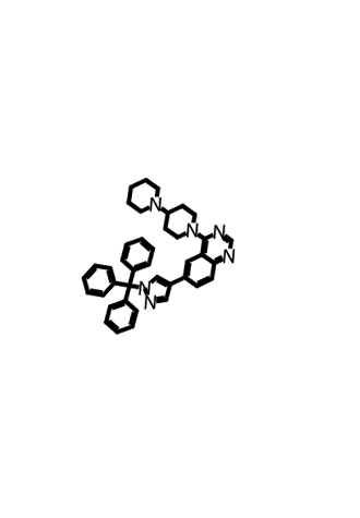 c1ccc(C(c2ccccc2)(c2ccccc2)n2cc(-c3ccc4ncnc(N5CCC(N6CCCCC6)CC5)c4c3)cn2)cc1